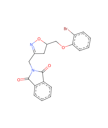 O=C1c2ccccc2C(=O)N1CC1=NOC(COc2ccccc2Br)C1